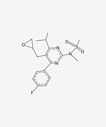 CC(C)c1nc(N(C)S(C)(=O)=O)nc(-c2ccc(F)cc2)c1CC1CO1